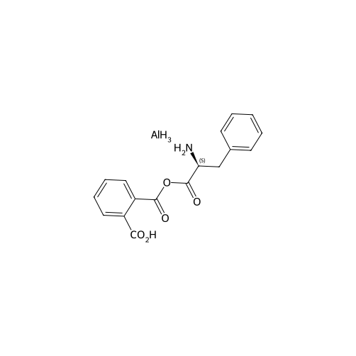 N[C@@H](Cc1ccccc1)C(=O)OC(=O)c1ccccc1C(=O)O.[AlH3]